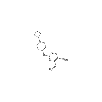 C=Cc1nc(OC2CCN(C3CCC3)CC2)ccc1C#N